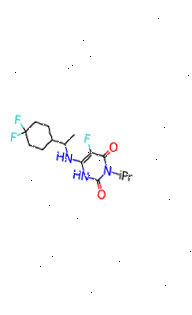 CC(Nc1[nH]c(=O)n(C(C)C)c(=O)c1F)C1CCC(F)(F)CC1